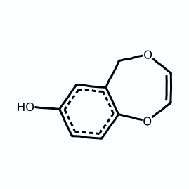 Oc1ccc2c(c1)COC=CO2